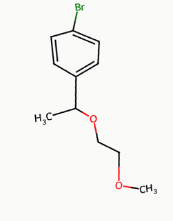 COCCOC(C)c1ccc(Br)cc1